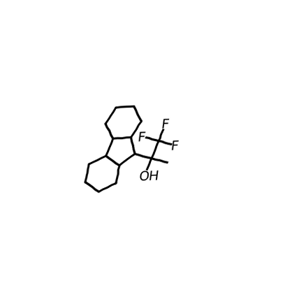 CC(O)(C1C2CCCCC2C2CCCCC21)C(F)(F)F